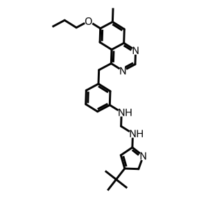 CCCOc1cc2c(Cc3cccc(NCNC4=NCC(C(C)(C)C)=C4)c3)ncnc2cc1C